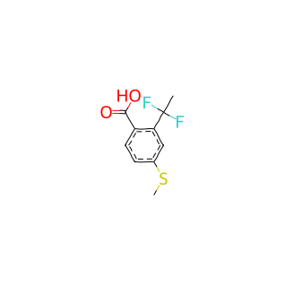 CSc1ccc(C(=O)O)c(C(C)(F)F)c1